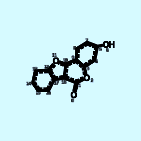 O=c1oc2cc(O)ccc2c2oc3ccccc3c12